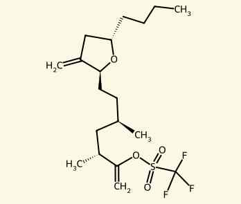 C=C(OS(=O)(=O)C(F)(F)F)[C@H](C)C[C@H](C)CC[C@@H]1O[C@@H](CCCC)CC1=C